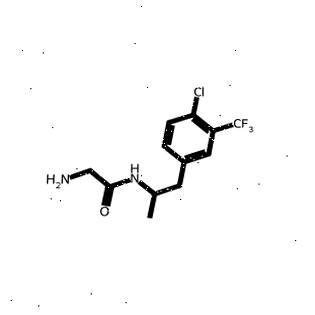 CC(Cc1ccc(Cl)c(C(F)(F)F)c1)NC(=O)CN